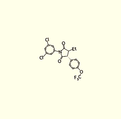 CCC1C(=O)N(c2cc(Cl)cc(Cl)c2)C(=O)[C@H]1c1ccc(OC(F)(F)F)cc1